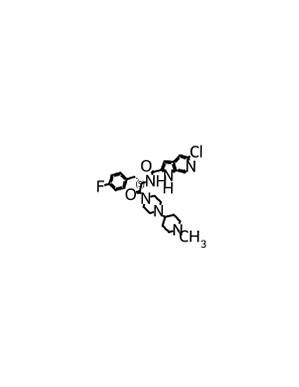 CN1CCC(N2CCN(C(=O)[C@H](Cc3ccc(F)cc3)NC(=O)c3cc4cc(Cl)ncc4[nH]3)CC2)CC1